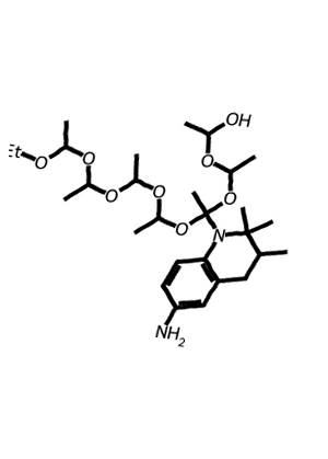 CCOC(C)OC(C)OC(C)OC(C)OC(C)(OC(C)OC(C)O)N1c2ccc(N)cc2CC(C)C1(C)C